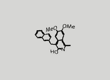 COc1cc2c(C)nc(O)c(Cc3ccc4ccccc4c3)c2cc1OC